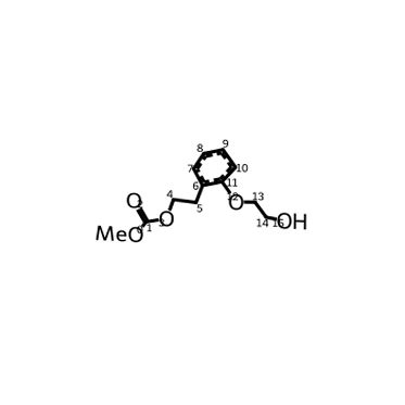 COC(=O)OCCc1ccccc1OCCO